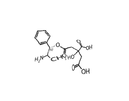 CC(N)[C@@H](OC(=O)CC(O)(CC(=O)O)C(=O)O)c1ccccc1